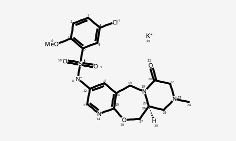 COc1ccc(Cl)cc1S(=O)(=O)[N-]c1cnc2c(c1)CN1C(=O)CN(C)C[C@H]1CO2.[K+]